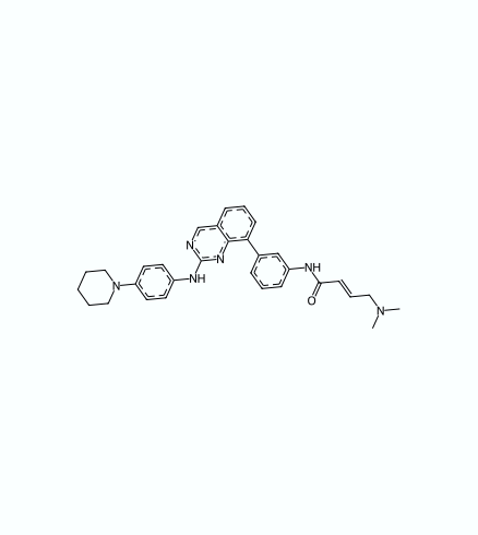 CN(C)CC=CC(=O)Nc1cccc(-c2cccc3cnc(Nc4ccc(N5CCCCC5)cc4)nc23)c1